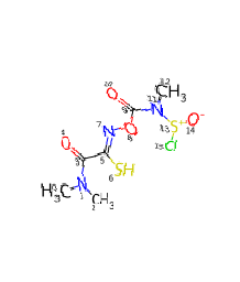 CN(C)C(=O)C(S)=NOC(=O)N(C)[S+]([O-])Cl